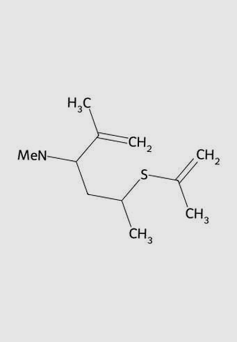 C=C(C)SC(C)CC(NC)C(=C)C